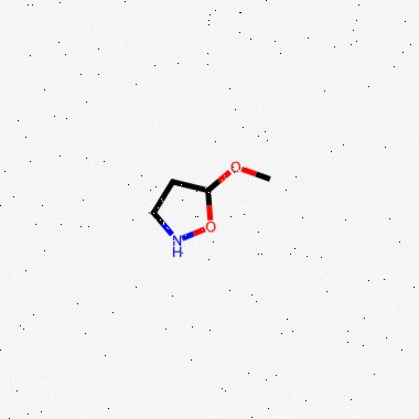 COC1C[CH]NO1